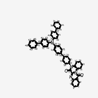 O=c1c2nc3ccccc3c(=O)n2c2ccccc2n1-c1ccc(-c2ccc(N(c3ccc(-c4ccccc4)cc3)c3ccc(-c4ccccc4)cc3)cc2)cc1